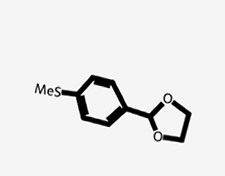 CSc1ccc(C2OCCO2)cc1